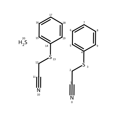 N#CCSc1ccccc1.N#CCSc1ccccc1.S